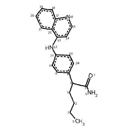 CCCCC(C(N)=O)c1ccc(Nc2ccnc3ccccc23)cc1